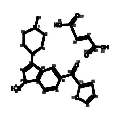 CN1CCC(c2cn(N)c3ccc(C(=O)c4ccco4)cc23)CC1.O=C(O)C=CC(=O)O